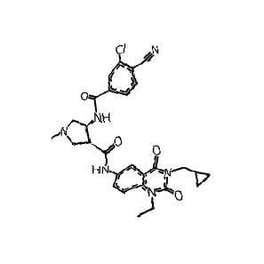 CCn1c(=O)n(CC2CC2)c(=O)c2cc(NC(=O)[C@H]3CN(C)C[C@H]3NC(=O)c3ccc(C#N)c(Cl)c3)ccc21